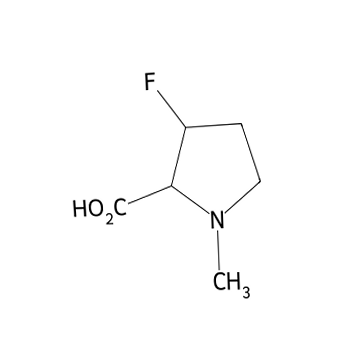 CN1CCC(F)C1C(=O)O